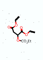 C=COC(=O)CC(OC(=O)OCC)C(=O)OC=C